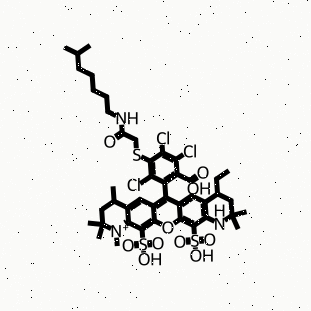 CCC1CC(C)(C)Nc2c1cc1c(c2S(=O)(=O)O)Oc2c(S(=O)(=O)O)c3c(cc2=C1c1c(Cl)c(SCC(=O)NCCCCCC(C)C)c(Cl)c(Cl)c1C(=O)O)C(C)CC(C)(C)[N+]=3C